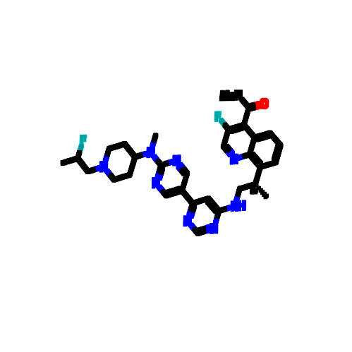 CNC(=O)c1c(F)cnc2c([C@H](C)CNc3cc(-c4cnc(N(C)C5CCN(CC(C)F)CC5)nc4)ncn3)cccc12